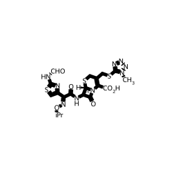 CC(C)ON=C(C(=O)NC1C(=O)N2C(C(=O)O)=C(CSc3nnnn3C)CS[C@@H]12)c1csc(NC=O)n1